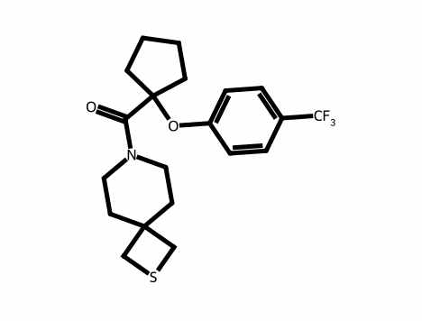 O=C(N1CCC2(CC1)CSC2)C1(Oc2ccc(C(F)(F)F)cc2)CCCC1